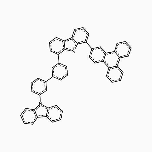 c1cc(-c2cccc(-n3c4ccccc4c4ccccc43)c2)cc(-c2cccc3c2sc2c(-c4ccc5c6ccccc6c6ccccc6c5c4)cccc23)c1